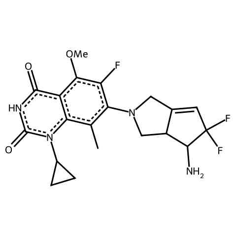 COc1c(F)c(N2CC3=CC(F)(F)C(N)C3C2)c(C)c2c1c(=O)[nH]c(=O)n2C1CC1